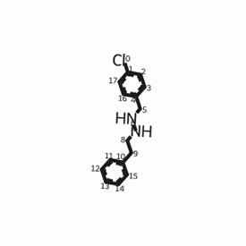 Clc1ccc(CNNCCc2ccccc2)cc1